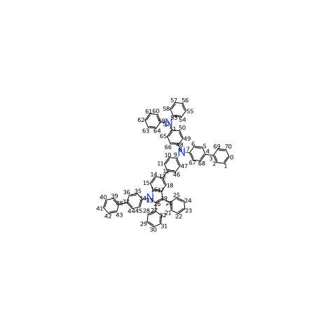 c1ccc(-c2ccc(N(c3ccc(-c4ccc5c(c4)c(-c4ccccc4)c(-c4ccccc4)n5-c4ccc(-c5ccccc5)cc4)cc3)c3ccc(N(c4ccccc4)c4ccccc4)cc3)cc2)cc1